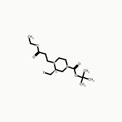 CCOC(=O)CCN1CCN(C(=O)OC(C)(C)C)C[C@H]1CF